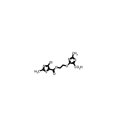 CCc1nc(C)sc1C(=O)OCCOc1nc(C)sc1C(=O)O